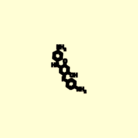 Nc1ccc(/N=C2/C=C(Nc3ccc(N)cc3)C(=O)C=C2O)cc1